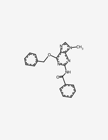 Cn1cnc2c(OCc3ccccc3)nc(NC(=O)c3ccccc3)nc21